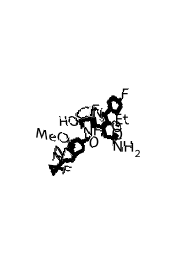 CCOc1c(CC(N)=O)cc([C@@](O)(CNC(=O)c2cc(OC)c3nnc(C4(F)CC4)cc3c2)C(F)(F)F)nc1-c1ccc(F)cc1